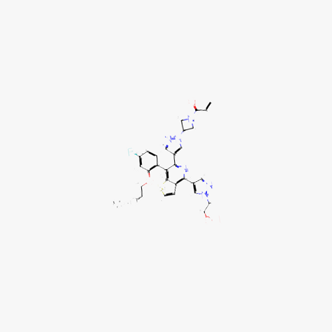 C=CC(=O)N1CC(n2cc(-c3nc(-c4cnn(CCO)c4)c4ccsc4c3-c3ccc(F)cc3OCCOC)cn2)C1